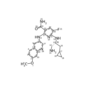 COc1ccc2cc(Nc3nc(N[C@@H](CN)CC4CC4)c(F)cc3C(N)=O)cnc2c1